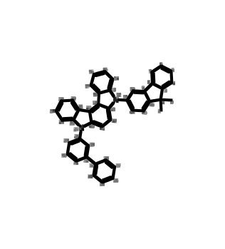 CC1(C)c2ccccc2-c2cc(-n3c4ccccc4c4c5c6ccccc6n(-c6cccc(-c7ccccc7)c6)c5ccc43)ccc21